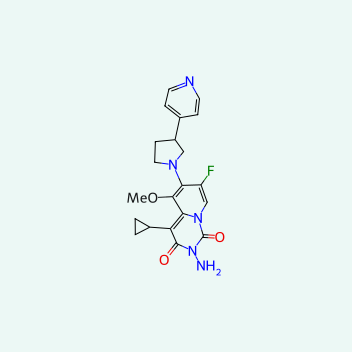 COc1c(N2CCC(c3ccncc3)C2)c(F)cn2c(=O)n(N)c(=O)c(C3CC3)c12